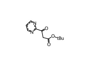 CC(C)(C)OC(=O)CC(=O)c1ncccn1